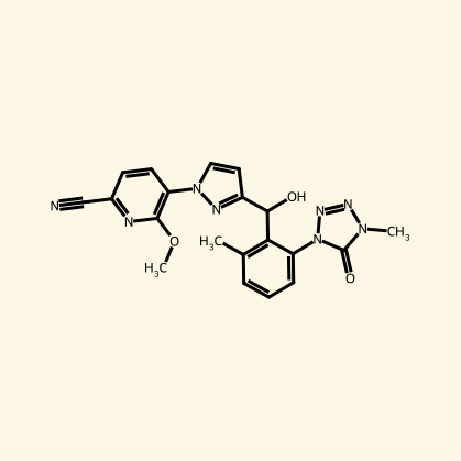 COc1nc(C#N)ccc1-n1ccc(C(O)c2c(C)cccc2-n2nnn(C)c2=O)n1